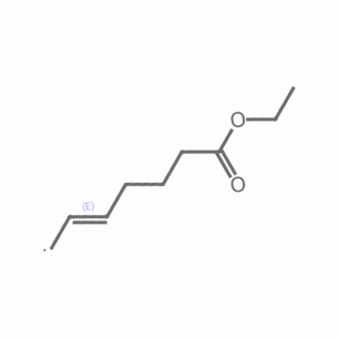 [CH2]/C=C/CCCC(=O)OCC